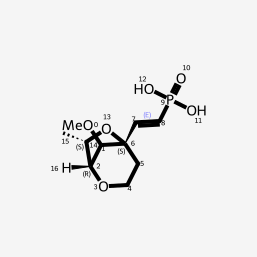 COC1[C@@H]2OCC[C@@]1(/C=C/P(=O)(O)O)O[C@H]2C